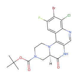 CC(C)(C)OC(=O)N1CCN2c3c(cnc4c(Cl)c(Br)c(F)cc34)NC(=O)[C@H]2C1